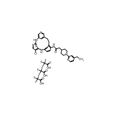 CCc1ccnc(N2CCC(CC(=O)Nc3ccc4cc3CCc3cncc(c3)Nc3ncc(Cl)c(n3)N4)CC2)c1.O=C(O)C(F)(F)F.O=C(O)C(F)(F)F.O=C(O)C(F)(F)F